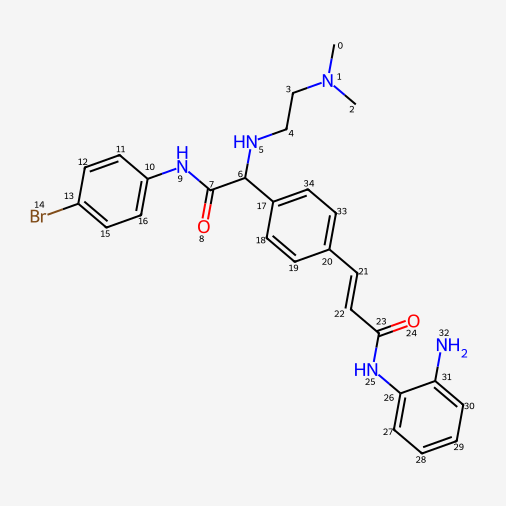 CN(C)CCNC(C(=O)Nc1ccc(Br)cc1)c1ccc(C=CC(=O)Nc2ccccc2N)cc1